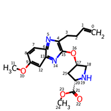 C=CCCc1nc2ccc(OC)cc2nc1O[C@H]1CN[C@H](C(=O)OC)C1